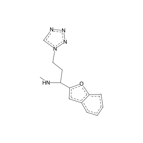 CNC(CCn1cnnn1)c1cc2ccccc2o1